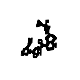 N#CC1CSCN1C(=O)CNC(=O)c1ccnc2ccc(N3CC(F)(C4CC4)C3)cc12